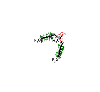 CC(CO)(OCCC(F)(F)C(F)(F)C(F)(F)C(F)(F)C(F)(F)C(F)(F)F)OCCC(F)(F)C(F)(F)C(F)(F)C(F)(F)C(F)(F)C(F)(F)F